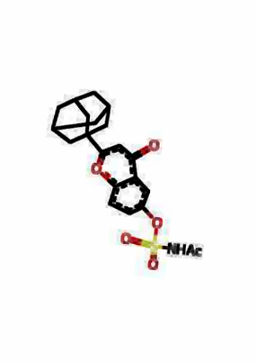 CC(=O)NS(=O)(=O)Oc1ccc2oc(C34CC5CC(CC(C5)C3)C4)cc(=O)c2c1